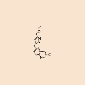 CCOCc1cn(Cc2ccc3ncc(Cl)cc3c2)nn1